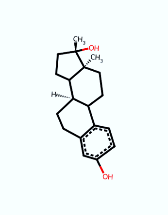 C[C@]1(O)CCC2[C@@H]3CCc4cc(O)ccc4C3CC[C@@]21C